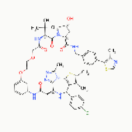 Cc1ncsc1-c1ccc(CNC(=O)[C@@H]2C[C@@H](O)CN2C(=O)[C@@H](NC(=O)COCCOc2cccc(NC(=O)C[C@@H]3NC(c4ccc(Cl)cc4)c4c(sc(C)c4C)-n4c(C)nnc43)c2)C(C)(C)C)cc1